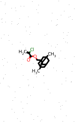 C=C(Cl)C(=O)OCC12CC3CC(C)(CC(C)(C3)C1)C2